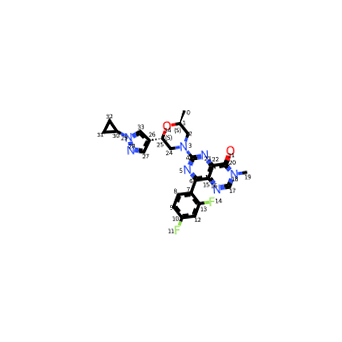 C[C@H]1CN(c2nc(-c3ccc(F)cc3F)c3ncn(C)c(=O)c3n2)C[C@H](c2cnn(C3CC3)c2)O1